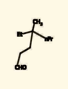 CCCC(C)(CC)CCC=O